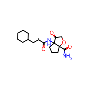 NC(=O)C12CCCC1(NC(=O)[CH]CC1CCCCC1)C(=O)CO2